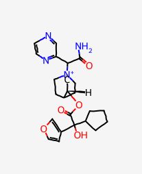 NC(=O)C(c1cnccn1)[N+]12CCC(CC1)[C@@H](OC(=O)C(O)(c1ccoc1)C1CCCC1)C2